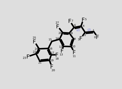 F/C=C(F)/C(F)=C(/F)c1cc(F)c(F)c(Cc2c(F)c(F)cc(F)c2F)c1F